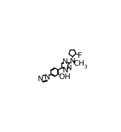 CN(c1ncc(-c2ccc(-n3ccnc3)cc2O)nn1)[C@H]1CCC[C@H]1F